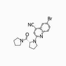 N#Cc1cc(N2CCC[C@@H]2C(=O)N2CCCC2)nc2ccc(Br)cc12